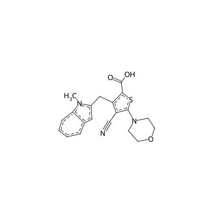 Cn1c(Cc2c(C(=O)O)sc(N3CCOCC3)c2C#N)cc2ccccc21